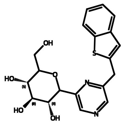 OCC1OC(c2cncc(Cc3cc4ccccc4s3)n2)[C@H](O)[C@@H](O)[C@@H]1O